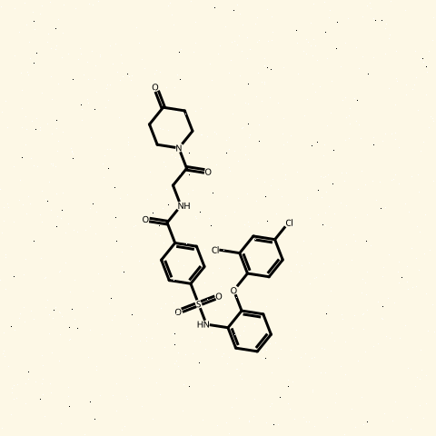 O=C1CCN(C(=O)CNC(=O)c2ccc(S(=O)(=O)Nc3ccccc3Oc3ccc(Cl)cc3Cl)cc2)CC1